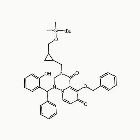 CC(C)(C)[Si](C)(C)OCC1CC1CN1CN(C(c2ccccc2)c2ccccc2O)n2ccc(=O)c(OCc3ccccc3)c2C1=O